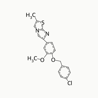 COc1cc(-c2cn3cc(C)sc3n2)ccc1OCc1ccc(Cl)cc1